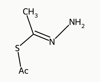 CC(=O)SC(C)=NN